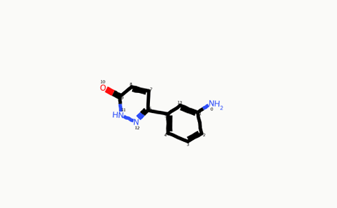 Nc1cccc(-c2ccc(=O)[nH]n2)c1